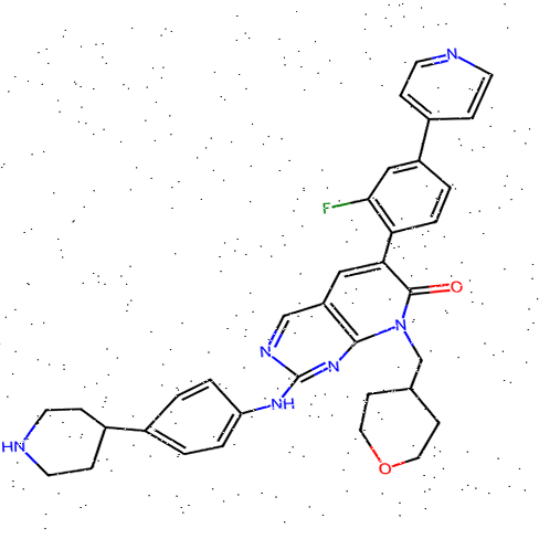 O=c1c(-c2ccc(-c3ccncc3)cc2F)cc2cnc(Nc3ccc(C4CCNCC4)cc3)nc2n1CC1CCOCC1